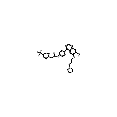 COc1cc2ncnc(-c3ccc(NC(=O)Cc4ccc(C(F)(F)F)cc4)cc3)c2cc1OCCCN1CCCC1